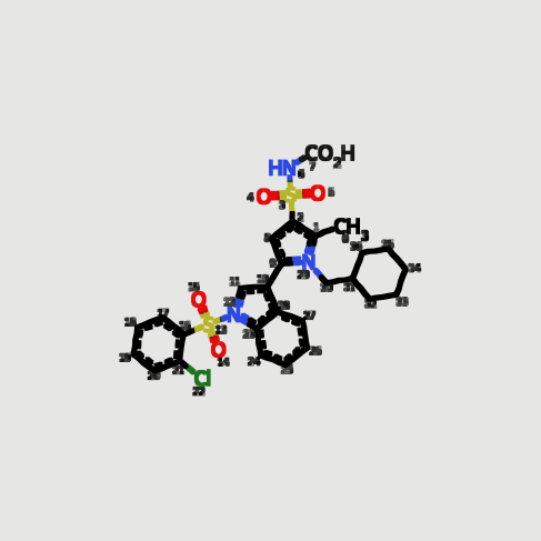 Cc1c(S(=O)(=O)NC(=O)O)cc(-c2cn(S(=O)(=O)c3ccccc3Cl)c3ccccc23)n1CC1CCCCC1